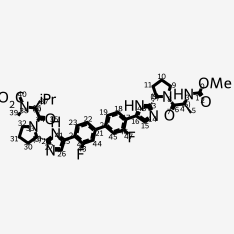 COC(=O)N[C@@H](C)C(=O)N1CCC[C@H]1c1ncc(-c2ccc(-c3ccc(-c4cnc([C@@H]5CCCN5C(=O)[C@H](C(C)C)N(C)C(=O)O)[nH]4)c(F)c3)cc2F)[nH]1